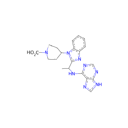 CC(Nc1ncnc2[nH]cnc12)c1nc2ccccc2n1C1CCN(C(=O)O)CC1